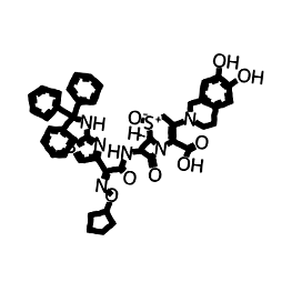 O=C(O)C1=C(N2CCc3cc(O)c(O)cc3C2)C[S+]([O-])[C@@H]2C(NC(=O)/C(=N\OC3CCCC3)c3csc(NC(c4ccccc4)(c4ccccc4)c4ccccc4)n3)C(=O)N12